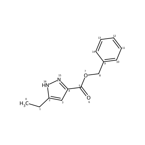 CCc1cc(C(=O)OCc2ccccc2)n[nH]1